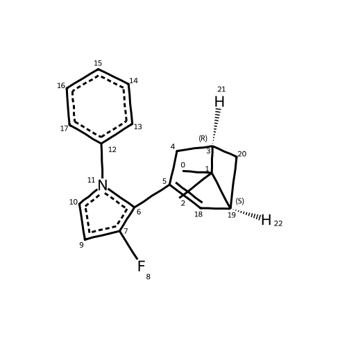 CC1(C)[C@H]2CC(c3c(F)ccn3-c3ccccc3)=C[C@@H]1C2